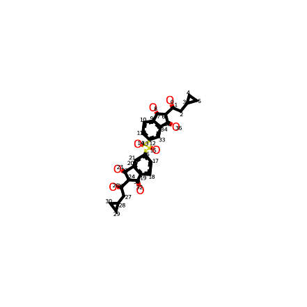 O=C(CC1CC1)C1C(=O)c2ccc(S(=O)(=O)c3ccc4c(c3)C(=O)C(C(=O)CC3CC3)C4=O)cc2C1=O